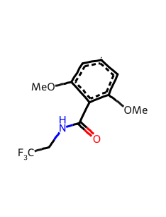 COc1c[c]cc(OC)c1C(=O)NCC(F)(F)F